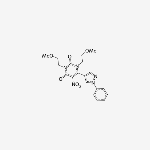 COCCn1c(-c2cnn(-c3ccccc3)c2)c([N+](=O)[O-])c(=O)n(CCOC)c1=O